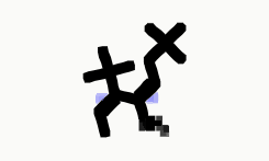 C/C=C(\C(N)=C/CC(C)(C)C)C(C)(C)C